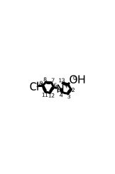 Oc1ccc[n+](-c2ccc(Cl)cc2)c1